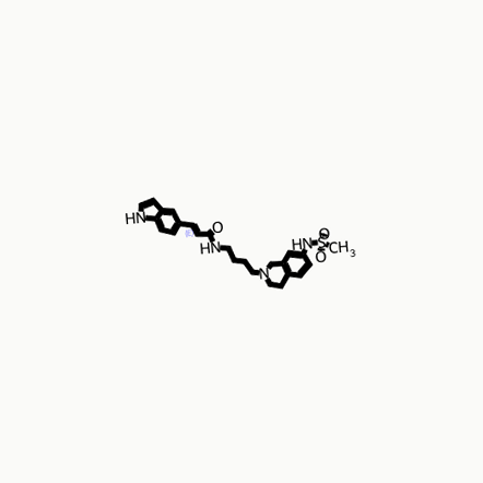 CS(=O)(=O)Nc1ccc2c(c1)CN(CCCCNC(=O)/C=C/c1ccc3[nH]ccc3c1)CC2